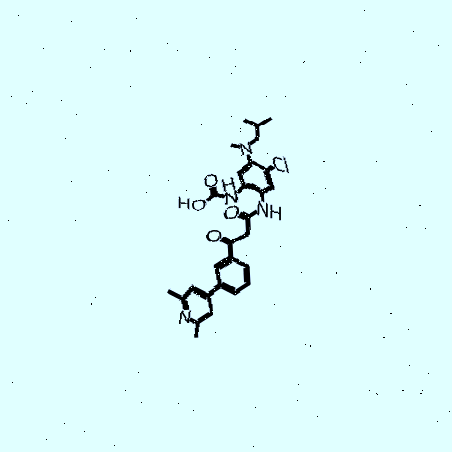 Cc1cc(-c2cccc(C(=O)CC(=O)Nc3cc(Cl)c(N(C)CC(C)C)cc3NC(=O)O)c2)cc(C)n1